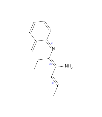 C=C1C=CC=C/C1=N/C(CC)=C(N)/C=C/C